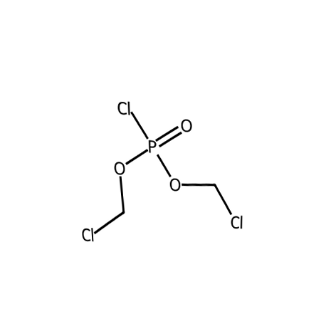 O=P(Cl)(OCCl)OCCl